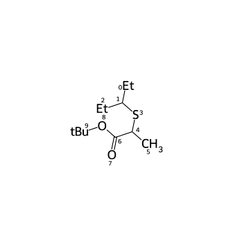 CCC(CC)SC(C)C(=O)OC(C)(C)C